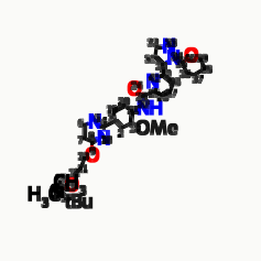 COc1cc(-c2nccc(OCCCO[Si](C)(C)C(C)(C)C)n2)ccc1NC(=O)c1cccc(-c2ccnn2C2CCCCO2)n1